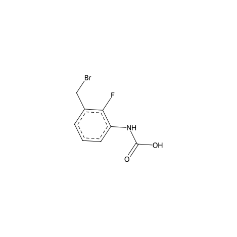 O=C(O)Nc1cccc(CBr)c1F